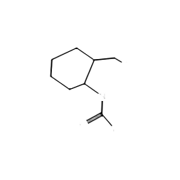 CC(=O)NC1CCCCC1CO